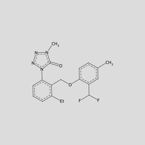 CCc1cccc(-n2nnn(C)c2=O)c1COc1ccc(C)cc1C(F)F